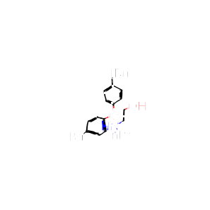 CC(C)(C)c1ccc(Oc2ccc(C(C)(C)C)cc2)cc1.CCCNCCO